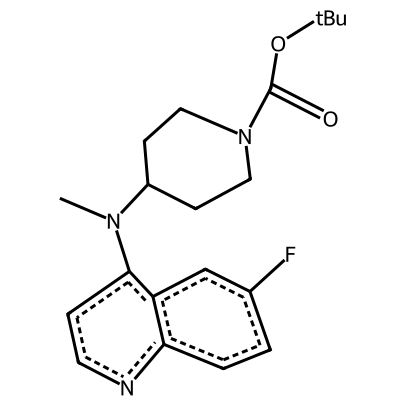 CN(c1ccnc2ccc(F)cc12)C1CCN(C(=O)OC(C)(C)C)CC1